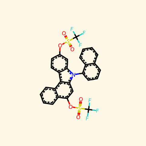 O=S(=O)(Oc1ccc2c3c4ccccc4c(OS(=O)(=O)C(F)(F)F)cc3n(-c3cccc4ccccc34)c2c1)C(F)(F)F